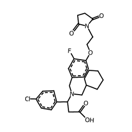 O=C(O)CC(c1ccc(Cl)cc1)N(Cc1ccc(OCCN2C(=O)CCC2=O)c(F)c1)CC1CCCCC1